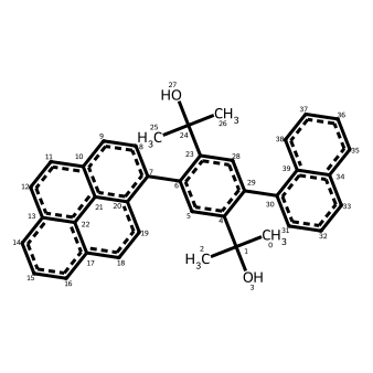 CC(C)(O)c1cc(-c2ccc3ccc4cccc5ccc2c3c45)c(C(C)(C)O)cc1-c1cccc2ccccc12